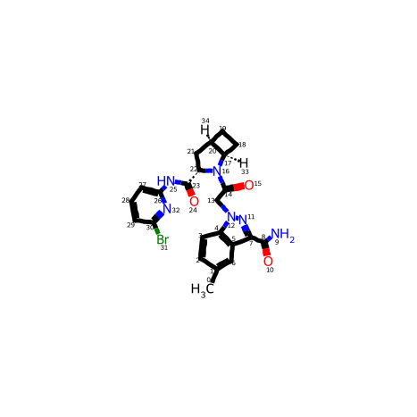 Cc1ccc2c(c1)c(C(N)=O)nn2CC(=O)N1[C@@H]2CC[C@@H]2C[C@H]1C(=O)Nc1cccc(Br)n1